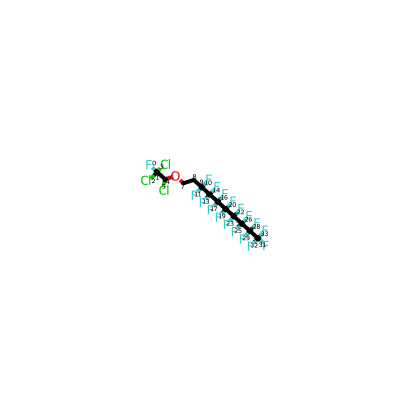 FC(Cl)(Cl)C(Cl)OCCC(F)(F)C(F)(F)C(F)(F)C(F)(F)C(F)(F)C(F)(F)C(F)(F)C(F)(F)F